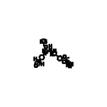 C[C@@H](Cn1cnnn1)Oc1cc(-c2cnc(Nc3cn([C@H]4CC[C@H](N5[C@@H]6CC[C@H]5COC6)CC4)nc3OCc3nccs3)nc2)ccc1C#N